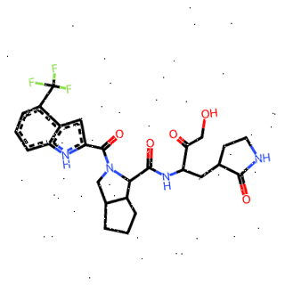 O=C1NCCC1CC(NC(=O)C1C2CCCC2CN1C(=O)c1cc2c(C(F)(F)F)cccc2[nH]1)C(=O)CO